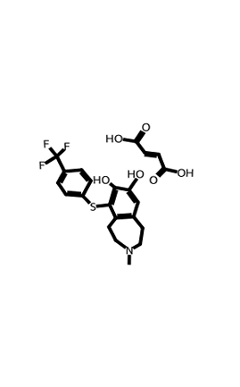 CN1CCc2cc(O)c(O)c(Sc3ccc(C(F)(F)F)cc3)c2CC1.O=C(O)C=CC(=O)O